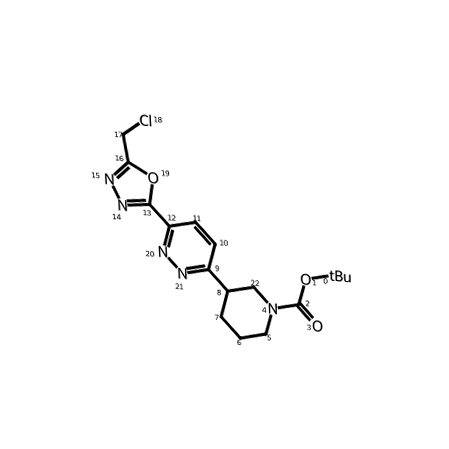 CC(C)(C)OC(=O)N1CCCC(c2ccc(-c3nnc(CCl)o3)nn2)C1